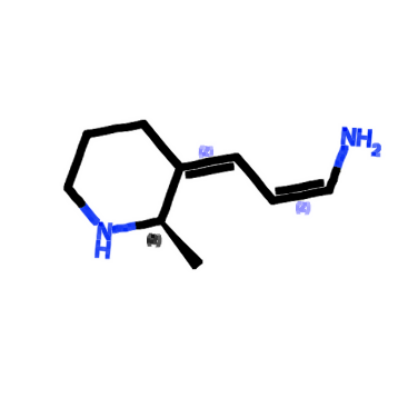 C[C@H]1NCCC/C1=C/C=C\N